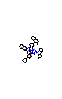 c1ccc(-c2ccc(-c3nc(-c4c(-n5c6ccccc6c6cc7ccccc7cc65)ccc5c4OCc4ccc6ccccc6c4-5)nc(-n4c5ccccc5c5ccccc54)n3)cc2)cc1